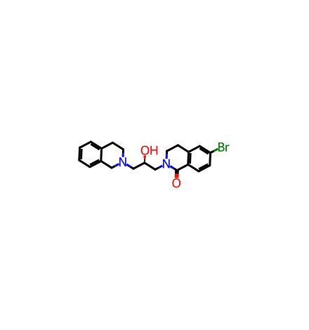 O=C1c2ccc(Br)cc2CCN1C[C@H](O)CN1CCc2ccccc2C1